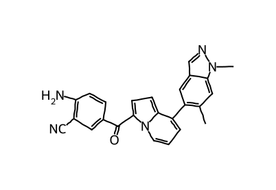 Cc1cc2c(cnn2C)cc1-c1cccn2c(C(=O)c3ccc(N)c(C#N)c3)ccc12